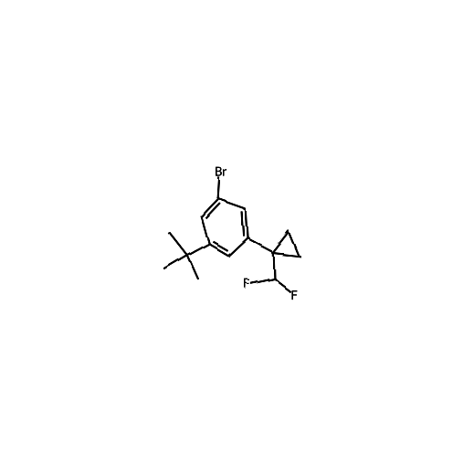 CC(C)(C)c1cc(Br)cc(C2(C(F)F)CC2)c1